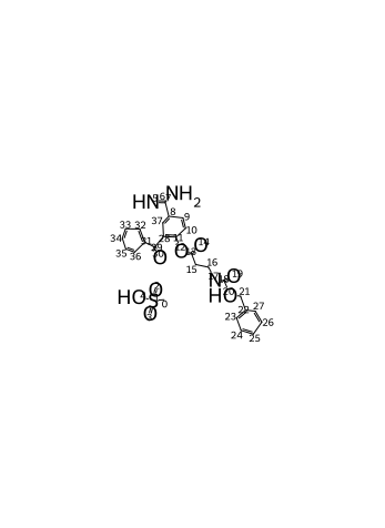 CS(=O)(=O)O.N=C(N)c1ccc(OC(=O)CCNC(=O)OCc2ccccc2)c(C(=O)c2ccccc2)c1